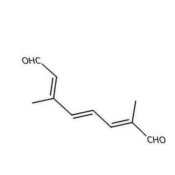 CC(C=O)=CC=CC(C)=CC=O